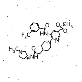 CN1CC[C@@H](NC(=O)CC2CCN(c3ncc(S(C)(=O)=O)cc3NC(=O)c3cccc(C(F)(F)F)c3)CC2)C1